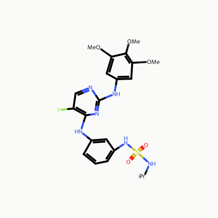 COc1cc(Nc2ncc(F)c(Nc3cccc(NS(=O)(=O)NC(C)C)c3)n2)cc(OC)c1OC